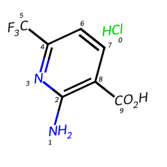 Cl.Nc1nc(C(F)(F)F)ccc1C(=O)O